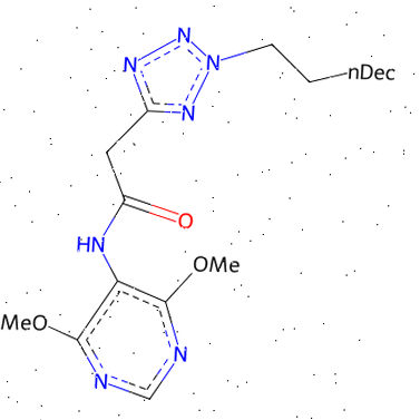 CCCCCCCCCCCCn1nnc(CC(=O)Nc2c(OC)ncnc2OC)n1